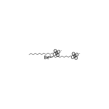 CCCCCCCCCCCCOS(=O)(=O)[O-].CCCCCCCCCCCCOS(=O)(=O)[O-].[Be+2]